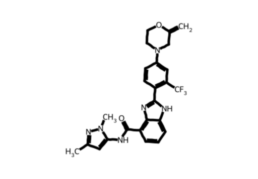 C=C1CN(c2ccc(-c3nc4c(C(=O)Nc5cc(C)nn5C)cccc4[nH]3)c(C(F)(F)F)c2)CCO1